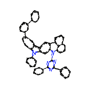 c1ccc(-c2cccc(-c3ccc4c(c3)c3cc5c(cc3n4-c3ccccc3)N(c3nc(-c4ccccc4)nc(-c4ccccc4)n3)c3cccc4cccc-5c34)c2)cc1